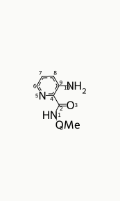 CONC(=O)c1ncccc1N